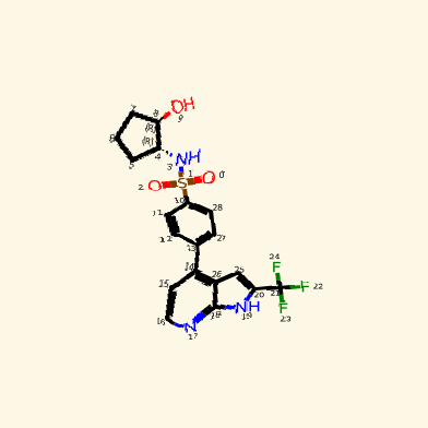 O=S(=O)(N[C@@H]1CCC[C@H]1O)c1ccc(-c2ccnc3[nH]c(C(F)(F)F)cc23)cc1